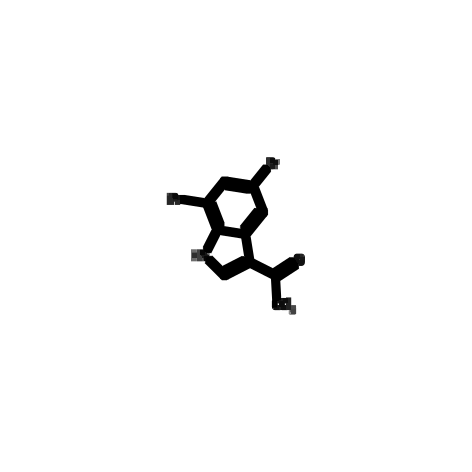 CC(C)c1cc(Br)cc2c(C(=O)C(Cl)(Cl)Cl)c[nH]c12